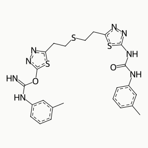 Cc1cccc(NC(=N)Oc2nnc(CCSCCc3nnc(NC(=O)Nc4cccc(C)c4)s3)s2)c1